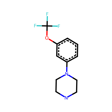 FC(F)(F)Oc1cccc(N2CC[N]CC2)c1